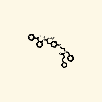 O=C(c1ccccc1)c1ccccc1NC(Cc1ccc(OCCN(Cc2ccccc2)C(=O)CCC2CCCC2)cc1)C(=O)O